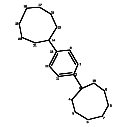 c1cc(C2CCCCCCC2)ccc1C1CCCCCCC1